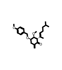 C=C1C[C@@H](OCc2ccc(OC)cc2)[C@@H](OC)[C@H](C(C)=CCCC(C)C)C1=O